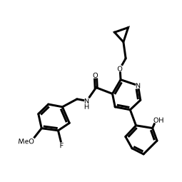 COc1ccc(CNC(=O)c2cc(-c3ccccc3O)cnc2OCC2CC2)cc1F